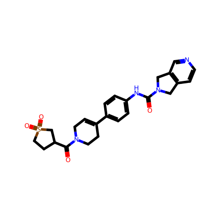 O=C(Nc1ccc(C2=CCN(C(=O)C3CCS(=O)(=O)C3)CC2)cc1)N1Cc2ccncc2C1